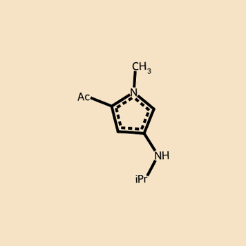 CC(=O)c1cc(NC(C)C)cn1C